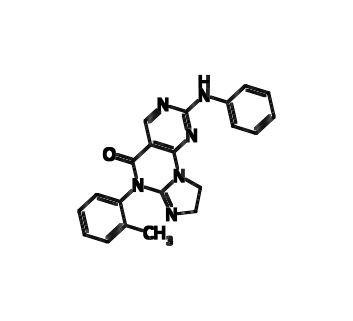 Cc1ccccc1N1C(=O)c2cnc(Nc3ccccc3)nc2N2CCN=C21